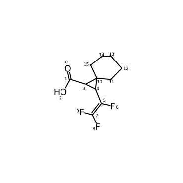 O=C(O)C1C(C(F)=C(F)F)C12CCCCC2